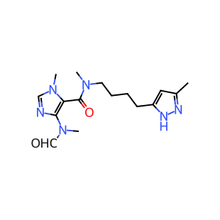 Cc1cc(CCCCN(C)C(=O)c2c(N(C)C=O)ncn2C)[nH]n1